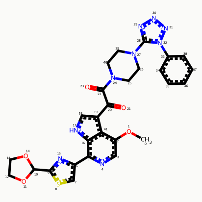 COc1cnc(-c2csc(C3OCCO3)n2)c2[nH]cc(C(=O)C(=O)N3CCN(c4nnnn4-c4ccccc4)CC3)c12